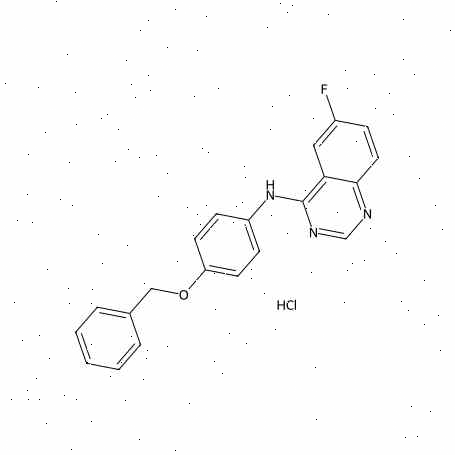 Cl.Fc1ccc2ncnc(Nc3ccc(OCc4ccccc4)cc3)c2c1